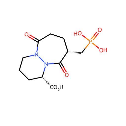 O=C(O)[C@@H]1CCCN2C(=O)CC[C@H](CP(=O)(O)O)C(=O)N12